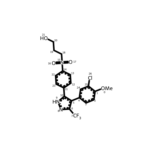 COc1ccc(-c2c(C(F)(F)F)n[nH]c2-c2ccc(S(=O)(=O)CCCO)cc2)cc1Cl